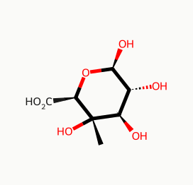 C[C@@]1(O)[C@@H](C(=O)O)O[C@@H](O)[C@H](O)[C@H]1O